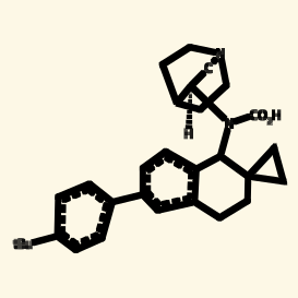 CC(C)(C)c1ccc(-c2ccc3c(c2)CCC2(CC2)C3N(C(=O)O)[C@@H]2CN3CCC2CC3)cc1